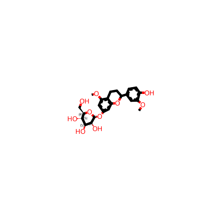 COc1cc(C2CCc3c(OC)cc(O[C@@H]4O[C@H](CO)[C@@H](O)[C@H](O)[C@H]4O)cc3O2)ccc1O